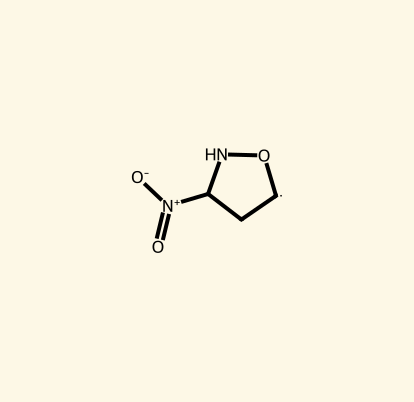 O=[N+]([O-])C1C[CH]ON1